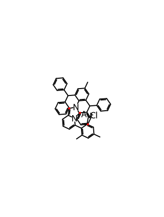 Cc1cc(C)c(C2=CC=CC3=CN(c4c(C(c5ccccc5)c5ccccc5)cc(C)cc4C(c4ccccc4)c4ccccc4)[CH]([Au][Cl])N32)c(C)c1